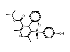 CC1=C(C(=O)OC(C)C)C(c2ccccc2Cl)C(S(=O)(=O)c2ccc(O)cc2)=C(C)N1